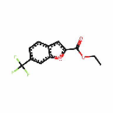 CCOC(=O)c1cc2ccc(C(F)(F)F)cc2o1